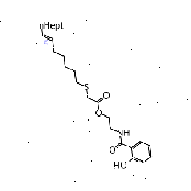 CCCCCCC/C=C/CCCCCSCC(=O)OCCNC(=O)c1ccccc1O